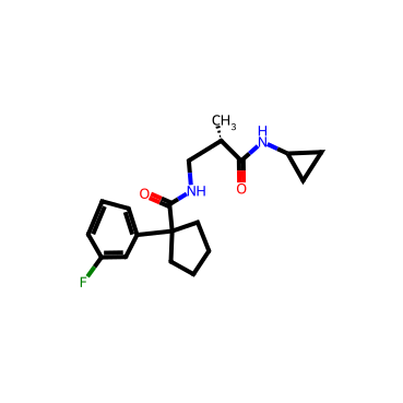 C[C@@H](CNC(=O)C1(c2cccc(F)c2)CCCC1)C(=O)NC1CC1